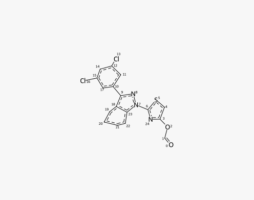 O=COc1csc(-n2nc(-c3cc(Cl)cc(Cl)c3)c3ccccc32)n1